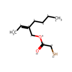 CC=C(CCCC)COC(=O)CS